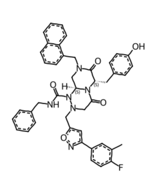 Cc1cc(-c2cc(CN3CC(=O)N4[C@@H](Cc5ccc(O)cc5)C(=O)N(Cc5cccc6ccccc56)C[C@@H]4N3C(=O)NCc3ccccc3)on2)ccc1F